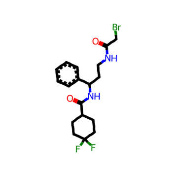 O=C(CBr)NCCC(NC(=O)C1CCC(F)(F)CC1)c1ccccc1